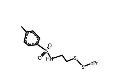 CCCSSCCNS(=O)(=O)c1ccc(C)cc1